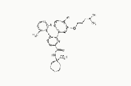 Cc1cccc(F)c1-c1ccc(C(=O)NC2(C(=O)O)CCCCC2)nc1-c1ccc(Cl)c(OCCCN(C)C)c1